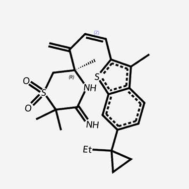 C=C(/C=C\c1sc2cc(C3(CC)CC3)ccc2c1C)[C@]1(C)CS(=O)(=O)C(C)(C)C(=N)N1